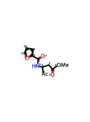 COC(=O)CC(NC(=O)c1ccco1)C(C)=O